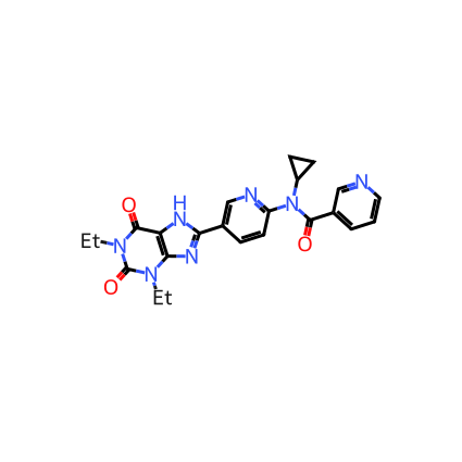 CCn1c(=O)c2[nH]c(-c3ccc(N(C(=O)c4cccnc4)C4CC4)nc3)nc2n(CC)c1=O